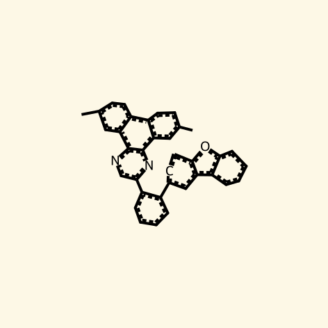 Cc1ccc2c3ccc(C)cc3c3nc(-c4ccccc4-c4ccc5oc6ccccc6c5c4)cnc3c2c1